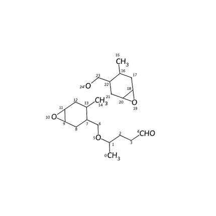 CC(CCC=O)OCC1CC2OC2CC1C.CC1CC2OC2CC1C[O]